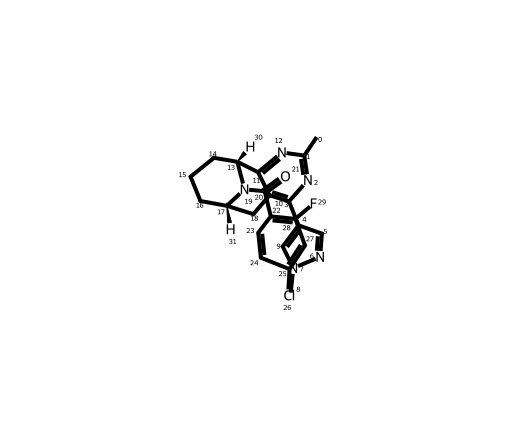 Cc1nc(-c2cnn(C)c2)c2c(n1)[C@H]1CCC[C@@H](C2)N1C(=O)c1ccc(Cl)cc1F